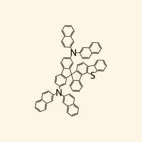 c1ccc2c(c1)-c1c(ccc3c1sc1ccccc13)C21c2cc(N(c3ccc4ccccc4c3)c3ccc4ccccc4c3)ccc2-c2ccc(N(c3ccc4ccccc4c3)c3ccc4ccccc4c3)cc21